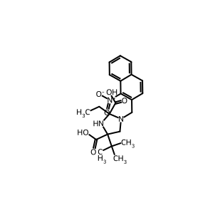 CCC1(C(=O)O)NC(C(=O)O)(C(C)(C)C)CN1Cc1ccc2ccccc2c1[N+](=O)[O-]